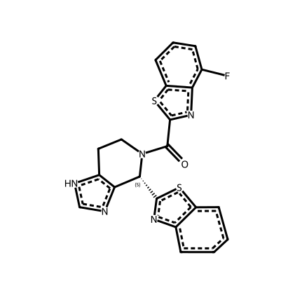 O=C(c1nc2c(F)cccc2s1)N1CCc2[nH]cnc2[C@H]1c1nc2ccccc2s1